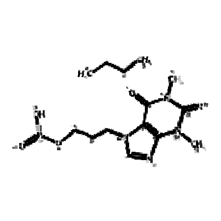 CCCC.Cn1c(=O)c2c(ncn2CCCO[PH](=O)O)n(C)c1=O